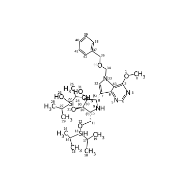 COc1ncnc2c([C@@H]3N[C@H](CO[SiH](C(C)C)C(C)C)[C@@H](O[Si](O)(C(C)C)C(C)C)[C@@H]3O)cn(COCc3ccccc3)c12